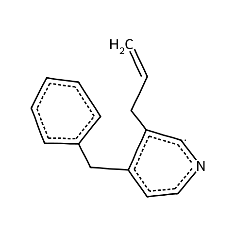 C=CCc1[c]nccc1Cc1ccccc1